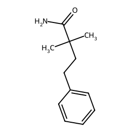 CC(C)(CCc1ccccc1)C(N)=O